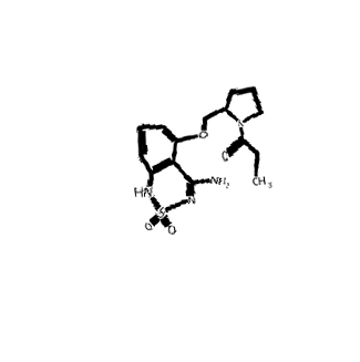 CCC(=O)N1CCCC1COc1cccc2c1C(N)=NS(=O)(=O)N2